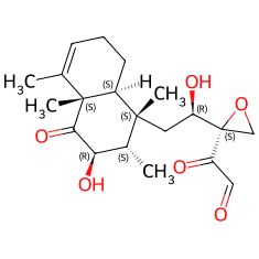 CC1=CCC[C@@H]2[C@]1(C)C(=O)[C@H](O)[C@@H](C)[C@@]2(C)C[C@@H](O)[C@]1(C(=O)C=O)CO1